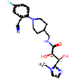 Cn1ccnc1[C@H](O)[C@@H](O)C(=O)NCC1CCN(c2ccc(F)cc2C#N)CC1